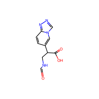 O=CNCC(C(=O)O)c1ccc2nncn2c1